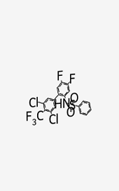 O=S(=O)(Nc1cc(F)c(F)cc1-c1cc(Cl)c(C(F)(F)F)c(Cl)c1)c1ccccc1